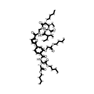 CCCCC[C@@H](C(=O)NCNC(=O)c1ccc(-c2ccc(C(=O)N[C@@H](CC(=O)OCCCC)C(=O)OCCCC)c(OCC(=O)OCCCC)c2)o1)[C@@H](CC)N(C=O)OC(=O)C(CC)CC